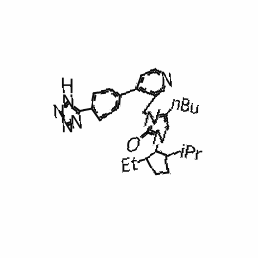 CCCCc1cn(C2C(CC)CCC2C(C)C)c(=O)n1Cc1cnccc1-c1ccc(-c2nnn[nH]2)cc1